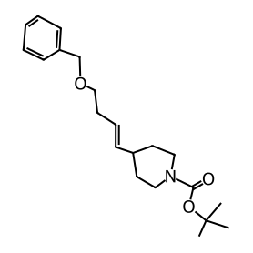 CC(C)(C)OC(=O)N1CCC(C=CCCOCc2ccccc2)CC1